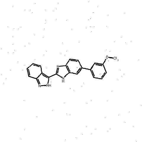 FC(F)(F)Oc1cccc(-c2ccc3nc(-c4[nH]nc5ccccc45)[nH]c3c2)c1